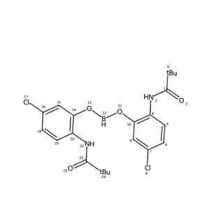 CC(C)(C)C(=O)Nc1ccc(Cl)cc1OBOc1cc(Cl)ccc1NC(=O)C(C)(C)C